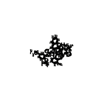 Cc1ccccc1CNC(=O)[C@H]1N(C(=O)[C@@H](O)[C@H](Cc2ccccc2)NC(=O)Nc2cc(SC(F)(F)F)ccc2OC(F)F)CSC1(C)C